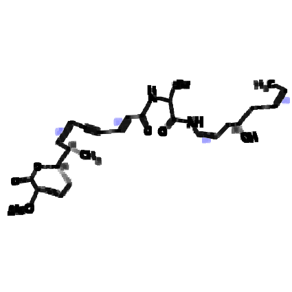 C/C=C\C[C@H](O)C/C=C\NC(=O)C(NC(=O)/C=C/C#C/C=C\[C@H](C)[C@@H]1CC=C(OC)C(=O)O1)C(C)(C)C